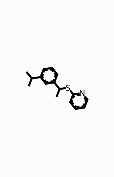 CC(C)c1cccc(C(C)Sc2ccccn2)c1